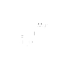 O.[F-].[F-].[Mg+2]